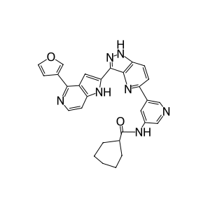 O=C(Nc1cncc(-c2ccc3[nH]nc(-c4cc5c(-c6ccoc6)nccc5[nH]4)c3n2)c1)C1CCCCC1